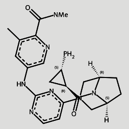 CNC(=O)c1ncc(Nc2nccc(N3C[C@H]4CC[C@@H](C3)N4C(=O)[C@H]3C[C@@H]3P)n2)cc1C